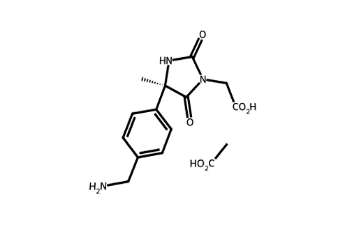 CC(=O)O.C[C@]1(c2ccc(CN)cc2)NC(=O)N(CC(=O)O)C1=O